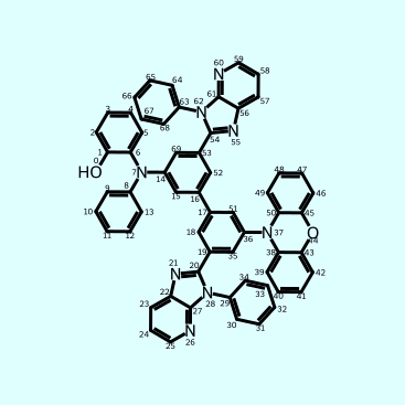 Oc1ccccc1N(c1ccccc1)c1cc(-c2cc(-c3nc4cccnc4n3-c3ccccc3)cc(N3c4ccccc4Oc4ccccc43)c2)cc(-c2nc3cccnc3n2-c2ccccc2)c1